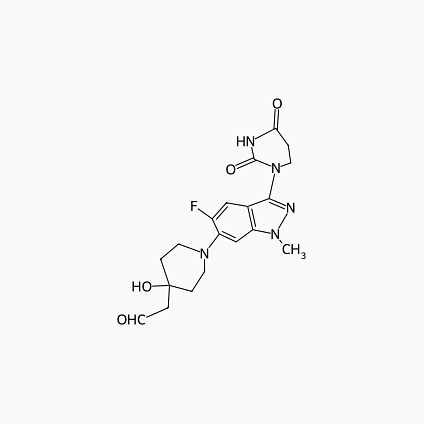 Cn1nc(N2CCC(=O)NC2=O)c2cc(F)c(N3CCC(O)(CC=O)CC3)cc21